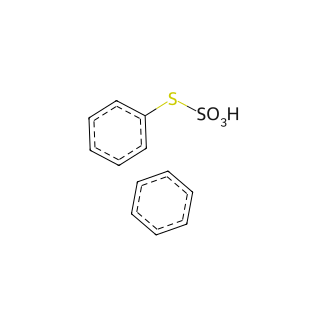 O=S(=O)(O)Sc1ccccc1.c1ccccc1